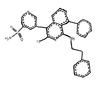 NS(=O)(=O)c1cncc(-c2c(Cl)nc(NCCc3ccccc3)c3c(-c4ccccc4)cccc23)c1